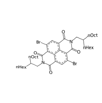 CCCCCCCCC(CCCCCC)CN1C(=O)c2cc(Br)c3c4c(cc(Br)c(c24)C1=O)C(=O)N(CC(CCCCCC)CCCCCCCC)C3=O